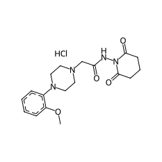 COc1ccccc1N1CCN(CC(=O)NN2C(=O)CCCC2=O)CC1.Cl